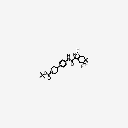 CC(C)(C)OC(=O)N1CCC(c2ccc(NC(=O)c3n[nH]c4c3CC(F)(F)C(C)(C)C4)cc2)CC1